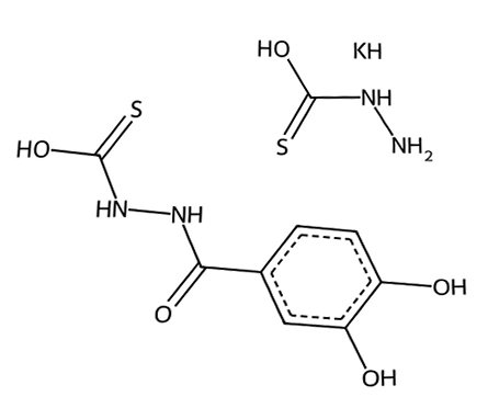 NNC(O)=S.O=C(NNC(O)=S)c1ccc(O)c(O)c1.[KH]